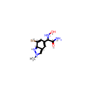 Cn1cc2cc(C(NO)C(N)=O)cc(Br)c2n1